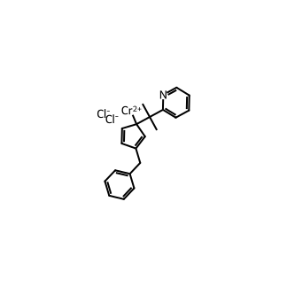 CC(C)(c1ccccn1)[C]1([Cr+2])C=CC(Cc2ccccc2)=C1.[Cl-].[Cl-]